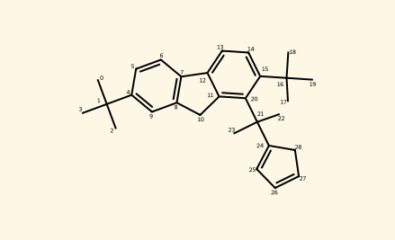 CC(C)(C)c1ccc2c(c1)Cc1c-2ccc(C(C)(C)C)c1C(C)(C)C1=CC=CC1